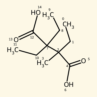 CCC(C)(C(=O)O)C(CC)(CC)C(=O)O